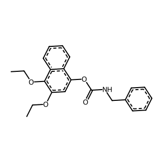 CCOc1cc(OC(=O)NCc2ccccc2)c2ccccc2c1OCC